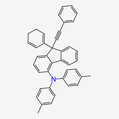 Cc1ccc(N(c2ccc(C)cc2)c2cccc3c2-c2ccccc2C3(C#Cc2ccccc2)C2=CCCC=C2)cc1